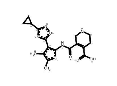 Cc1sc(NC(=O)C2=C(C(=O)O)CCOC2)c(-c2nc(C3CC3)no2)c1C